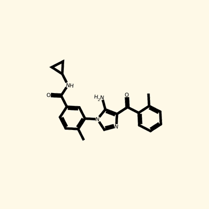 Cc1ccccc1C(=O)c1ncn(-c2cc(C(=O)NC3CC3)ccc2C)c1N